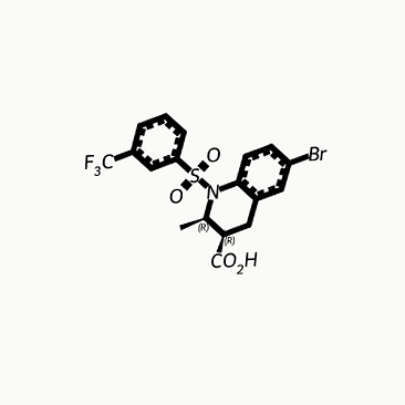 C[C@@H]1[C@H](C(=O)O)Cc2cc(Br)ccc2N1S(=O)(=O)c1cccc(C(F)(F)F)c1